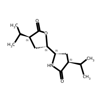 CC(C)[C@@H]1C[C@@H]([C@@H]2C[C@@H](C(C)C)C(=O)O2)NC1=O